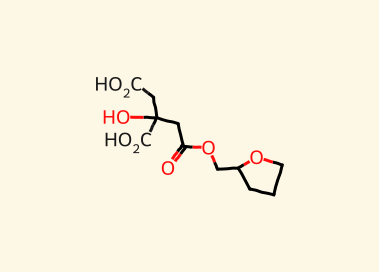 O=C(O)CC(O)(CC(=O)OCC1CCCO1)C(=O)O